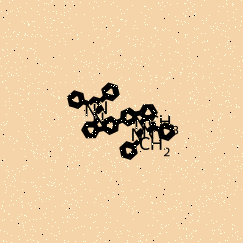 C=C(/N=C(\N=C(/C)c1ccccc1)n1c2ccccc2c2ccc(-c3ccc4c5ccccc5n(-c5nc(-c6ccccc6)cc(-c6ccccc6)n5)c4c3)cc21)c1ccccc1